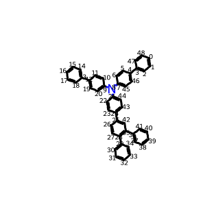 c1ccc(-c2ccc(N(c3ccc(-c4ccccc4)cc3)c3ccc(-c4ccc(-c5ccccc5)c(-c5ccccc5)c4)cc3)cc2)cc1